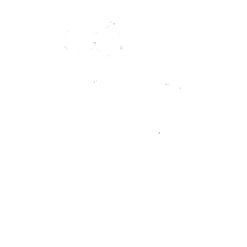 CCCCSCCN1CCC(CC[C@@H](O)c2c(Cl)cnc3ccc(OC)cc23)C(CC(=O)O)C1